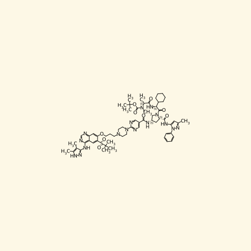 Cc1cc(NC(=O)[C@@H]2C[C@H](NC(=O)c3cnc(N4CCN(CCCOc5cc6ncnc(Nc7n[nH]c(C)c7C)c6cc5S(=O)(=O)C(C)(C)C)CC4)nc3)CN2C(=O)[C@@H](NC(=O)[C@H](C)N(C)C(=O)OC(C)(C)C)C2CCCCC2)n(-c2ccccc2)n1